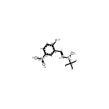 CC(C)(C)[S+]([O-])N=Cc1cc([N+](=O)[O-])ccc1F